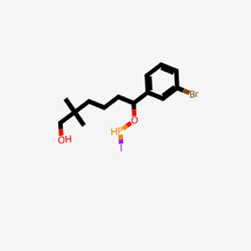 CC(C)(CO)CCCC(OPI)c1cccc(Br)c1